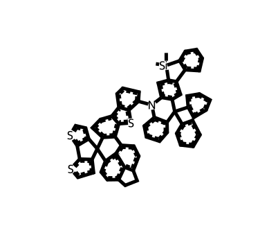 C[Si]1(C)c2ccccc2-c2cc3c(cc21)N(c1cccc2c1sc1c4c(ccc12)C1(c2ccsc2-c2sccc21)c1ccc2c5c(ccc-4c15)CC2)c1ccccc1C3(c1ccccc1)c1ccccc1